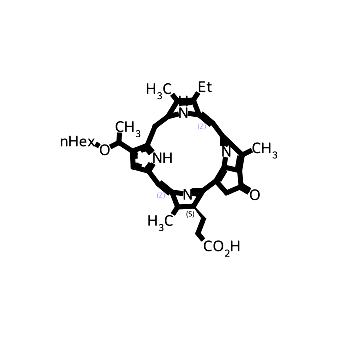 CCCCCCOC(C)c1cc2[nH]c1CC1N/C(=C\C3=NC4=C(CC(=O)C4=C3C)C3=N/C(=C\2)C(C)[C@@H]3CCC(=O)O)C(CC)=C1C